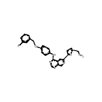 NCc1ccc(-c2cc3c(Nc4ccc(OCc5cccc(F)c5)cc4)ncnc3cn2)o1